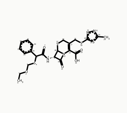 CCOCSC(C(=O)N[C@H]1C(=O)N2C(C(=O)O)=C(CSc3nnc(C)s3)CSC12)c1ccccc1